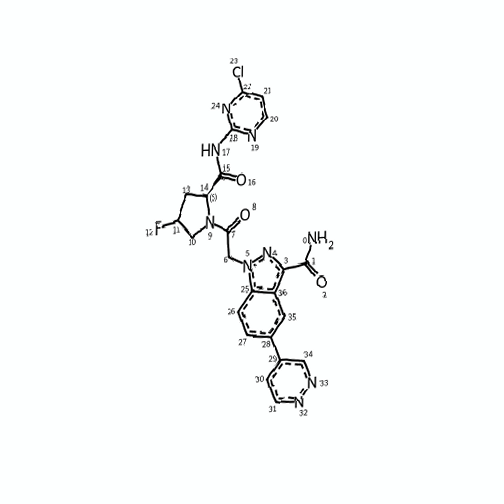 NC(=O)c1nn(CC(=O)N2CC(F)C[C@H]2C(=O)Nc2nccc(Cl)n2)c2ccc(-c3ccnnc3)cc12